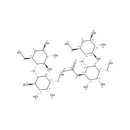 CC(=O)O[C@H]1[C@H](O[C@H]2[C@H](O)[C@@H](O)[C@H](O)O[C@@H]2CO)O[C@H](CO)[C@H](O)[C@@H]1O.CCC(=O)O[C@H]1[C@H](O[C@H]2[C@H](O)[C@@H](O)[C@H](O)O[C@@H]2CO)O[C@H](CO)[C@H](O)[C@@H]1O